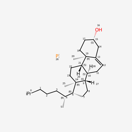 CC(C)CCC[C@@H](C)[C@H]1CC[C@H]2[C@@H]3CC=C4C[C@@H](O)CC[C@]4(C)[C@H]3CC[C@]12C.[P]